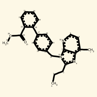 CCCc1nc2c(C)ccnc2n1Cc1ccc(-c2ccccc2C(=O)OC)cc1